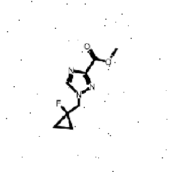 COC(=O)c1ncn(CC2(F)CC2)n1